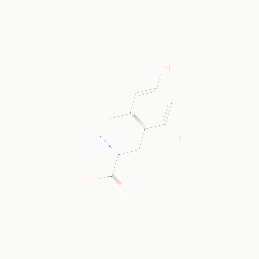 N[C@@H](Cc1c(I)cc(O)cc1I)C(=O)O